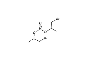 CC(CBr)O[PH](=O)OC(C)CBr